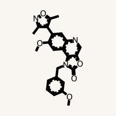 COc1cccc(Cn2c(=O)oc3cnc4cc(-c5c(C)noc5C)c(OC)cc4c32)c1